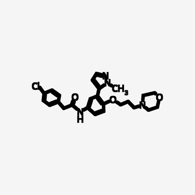 Cn1nccc1-c1cc(NC(=O)Cc2ccc(Cl)cc2)ccc1OCCCN1CCOCC1